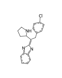 Clc1ccc(CC(=C2N=c3ccccc3=N2)C2CCCN2)cc1